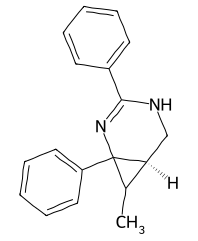 CC1[C@@H]2CNC(c3ccccc3)=NC12c1ccccc1